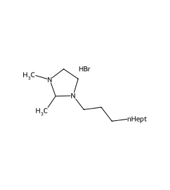 Br.CCCCCCCCCCN1CCN(C)C1C